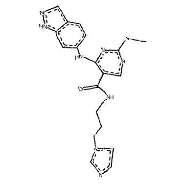 CSc1ncc(C(=O)NCCCn2ccnc2)c(Nc2ccc3cn[nH]c3c2)n1